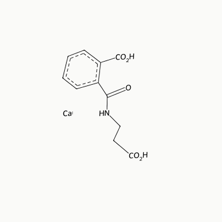 O=C(O)CCNC(=O)c1ccccc1C(=O)O.[Ca]